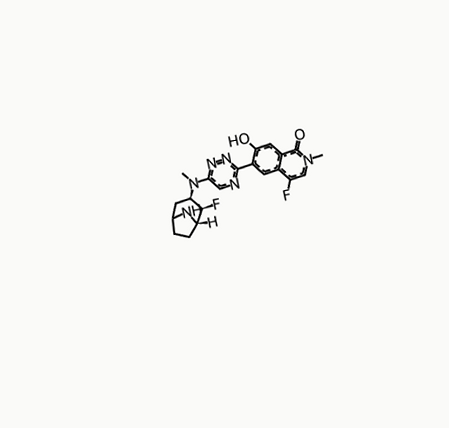 CN(c1cnc(-c2cc3c(F)cn(C)c(=O)c3cc2O)nn1)[C@@H]1CC2CC[C@H](N2)[C@@H]1F